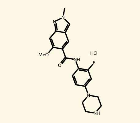 COc1cc2nn(C)cc2cc1C(=O)Nc1ccc(N2CCNCC2)cc1F.Cl